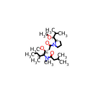 CC[C@H](C)[C@@H]([C@@H](CC(=O)N1CCC[C@H]1[C@H](OC)C(C)C)OC)N(C)C(=O)CC(C)C